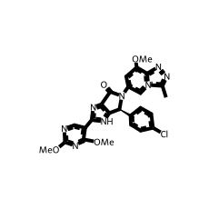 COc1ncc(-c2nc3c([nH]2)[C@H](c2ccc(Cl)cc2)N(c2cc(OC)c4nnc(C)n4c2)C3=O)c(OC)n1